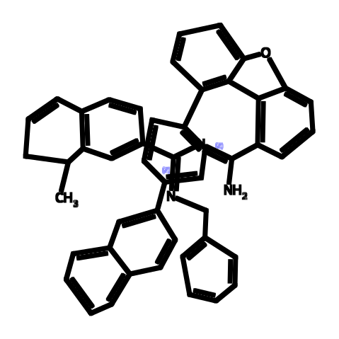 CC1CC=Cc2ccc(C(=N/Cc3ccccc3)/N=C(\N)c3cccc4oc5cccc(-c6ccc(-c7ccc8ccccc8c7)cc6)c5c34)cc21